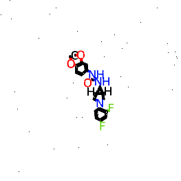 O=C(Nc1ccc2c(c1)OCCO2)N[C@H]1[C@@H]2CN(c3ccc(F)cc3F)C[C@@H]21